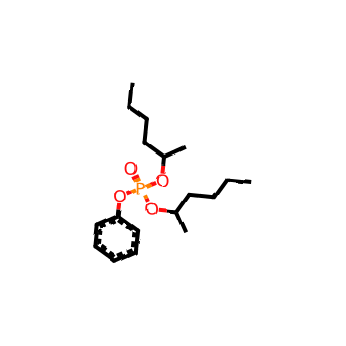 CCCCC(C)OP(=O)(Oc1ccccc1)OC(C)CCCC